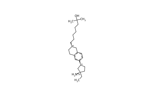 CC[C@@]1(N)CC[C@H](c2ccc3c(c2)CC[C@@H](CCCCCCC(C)(C)O)C3)C1